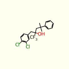 CC(C)(CC(O)(Cc1ccc(Cl)c(Cl)c1)C(F)(F)F)c1ccccc1